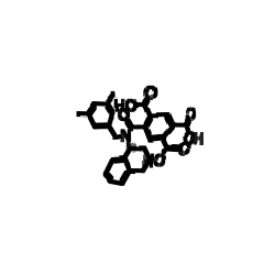 Cc1cc(C)cc(CN(C(=O)c2cc(C(=O)O)c(C(=O)O)cc2C(=O)O)[C@H]2CCCc3ccccc32)c1